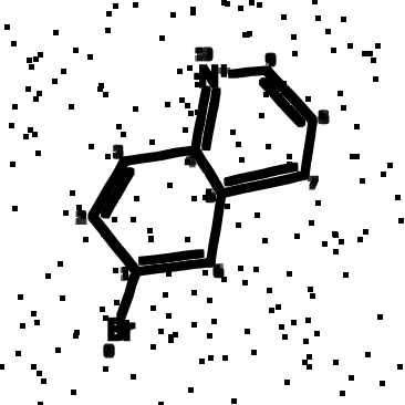 Brc1ccc2c(c1)=CC=C[N+]=2